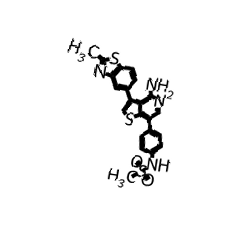 Cc1nc2cc(-c3csc4c(-c5ccc(NS(C)(=O)=O)cc5)cnc(N)c34)ccc2s1